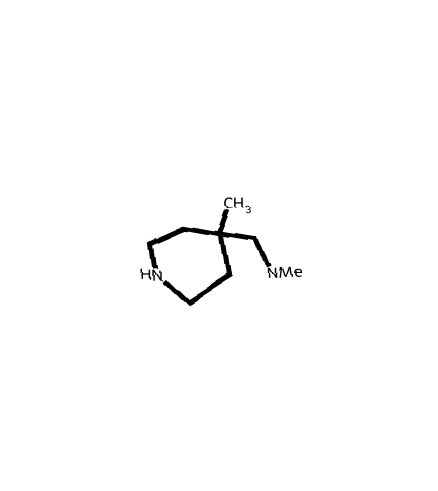 CNCC1(C)CCNCC1